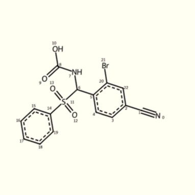 N#Cc1ccc(C(NC(=O)O)S(=O)(=O)c2ccccc2)c(Br)c1